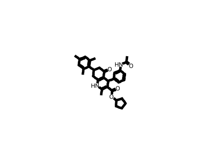 CC(=O)Nc1cccc(C2C(C(=O)OC3CCCC3)=C(C)NC3=C2C(=O)CC(c2c(C)cc(C)cc2C)C3)c1